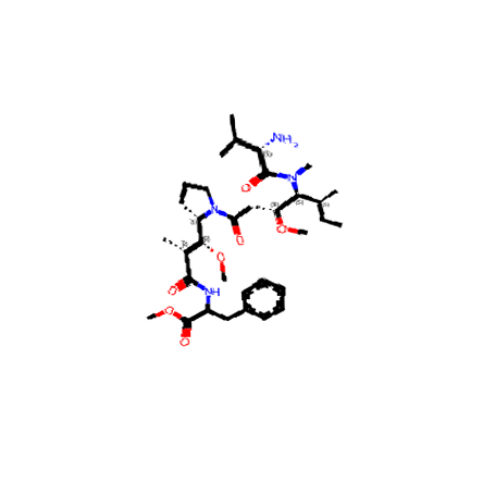 CC[C@H](C)[C@@H]([C@@H](CC(=O)N1CCC[C@H]1[C@H](OC)[C@@H](C)C(=O)NC(Cc1ccccc1)C(=O)OC)OC)N(C)C(=O)[C@@H](N)C(C)C